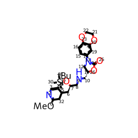 COC1=NC=CC(C[C@H](CNC[C@@H]2CN(c3ccc4c(c3)OCCO4)C(=O)O2)O[Si](C)(C)C(C)(C)C)C1